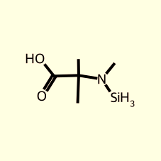 CN([SiH3])C(C)(C)C(=O)O